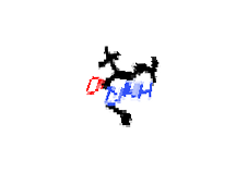 CCCn1[nH]c(CC(C)C)c(C(C)(C)C)c1=O